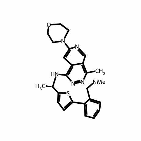 CNCc1ccccc1-c1ccc([C@@H](C)Nc2nnc(C)c3cnc(N4CCOCC4)cc23)s1